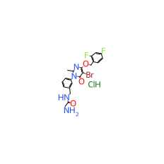 Cc1nc(OCc2ccc(F)cc2F)c(Br)c(=O)n1-c1cccc(CNC(=O)CN)c1.Cl